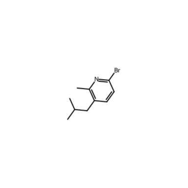 Cc1nc(Br)ccc1CC(C)C